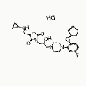 Cl.O=C1CC(CNC2CC2)C(=O)N1CC(O)CN1CCN(c2cc(F)ccc2OC2CCCC2)CC1